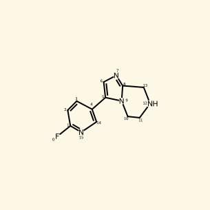 Fc1ccc(-c2cnc3n2CCNC3)cn1